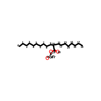 CCCCCCCCCCC(CCCCCCCC)C(=O)[O][Sn]=[O]